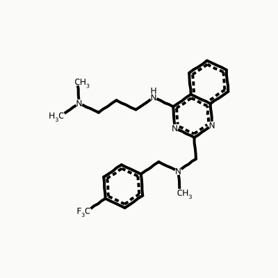 CN(C)CCCNc1nc(CN(C)Cc2ccc(C(F)(F)F)cc2)nc2ccccc12